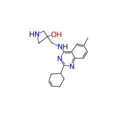 Cc1ccc2nc(C3CC=CCC3)nc(NCC3(O)CNC3)c2c1